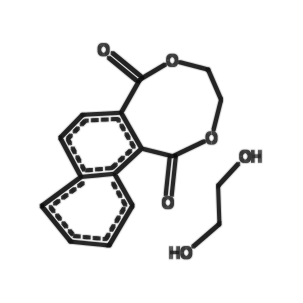 O=C1OCCOC(=O)c2c1ccc1ccccc21.OCCO